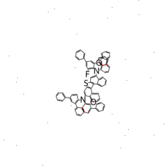 Fc1cc(-c2ccccc2)cc(-c2ccccc2)c1N(c1cc2sc3cc(N(c4ccc(-c5ccccc5)cc4-c4ccccc4)c4cccc5c4oc4ccccc45)c4ccccc4c3c2c2ccccc12)c1cccc2c1oc1ccccc12